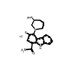 CN[C@H]1CCCN(c2c(F)cc(C(N)=O)c3[nH]c4ccccc4c23)C1.Cl